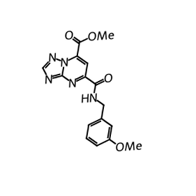 COC(=O)c1cc(C(=O)NCc2cccc(OC)c2)nc2ncnn12